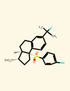 CCOC(=O)[C@H]1CC[C@]2(S(=O)(=O)c3ccc(F)cc3)c3ccc(C(C)(F)C(F)(F)F)cc3CC[C@H]12